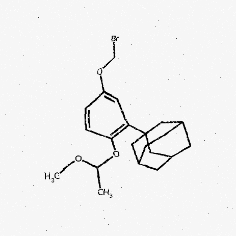 COC(C)Oc1ccc(OCBr)cc1C12CC3CC(CC(C3)C1)C2